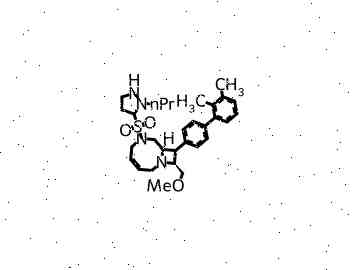 CCCN1NCCC1S(=O)(=O)N1C/C=C\CN2[C@H](COC)C(c3ccc(-c4cccc(C)c4C)cc3)[C@@H]2C1